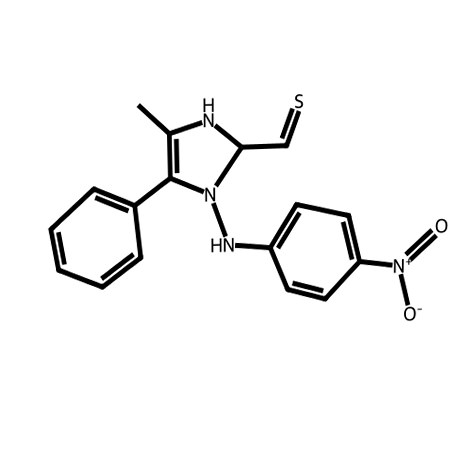 CC1=C(c2ccccc2)N(Nc2ccc([N+](=O)[O-])cc2)C(C=S)N1